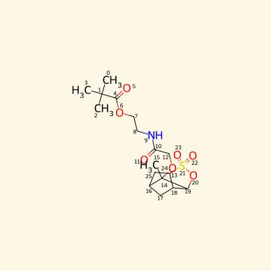 CC(C)(C)C(=O)OCCNC(=O)COC1(C)C2CC3C1OS(=O)(=O)C3C2